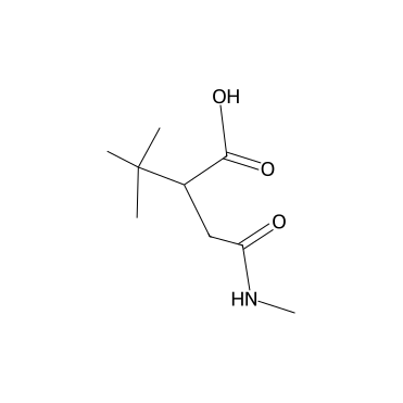 CNC(=O)CC(C(=O)O)C(C)(C)C